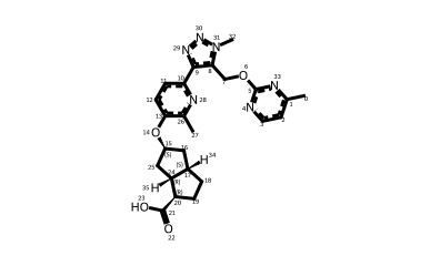 Cc1ccnc(OCc2c(-c3ccc(O[C@H]4C[C@@H]5CC[C@@H](C(=O)O)[C@@H]5C4)c(C)n3)nnn2C)n1